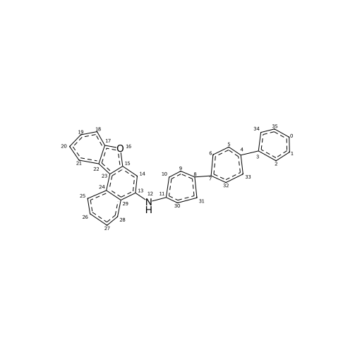 c1ccc(-c2ccc(-c3ccc(Nc4cc5oc6ccccc6c5c5ccccc45)cc3)cc2)cc1